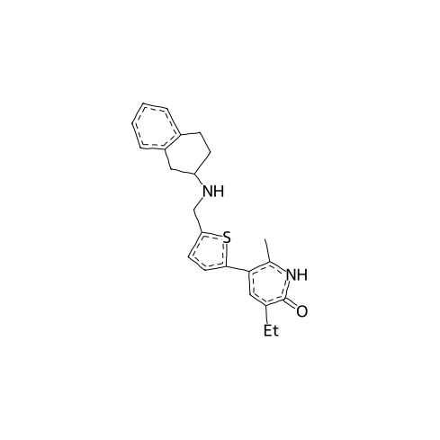 CCc1cc(-c2ccc(CNC3CCc4ccccc4C3)s2)c(C)[nH]c1=O